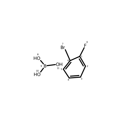 Fc1ccccc1Br.OB(O)O